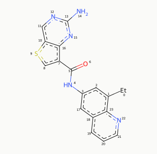 CCc1cc(NC(=O)c2csc3cnc(N)nc23)cc2cccnc12